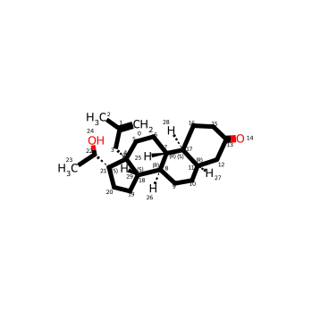 C=C(C)C[C@]12CC[C@H]3[C@@H](CC[C@@H]4CC(=O)CC[C@@H]43)[C@@H]1CC[C@@H]2C(C)O